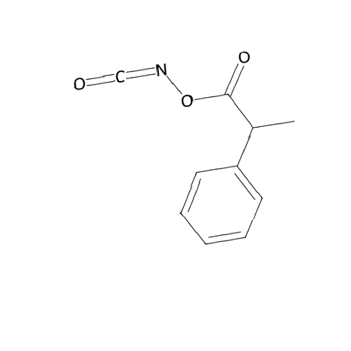 CC(C(=O)ON=C=O)c1ccccc1